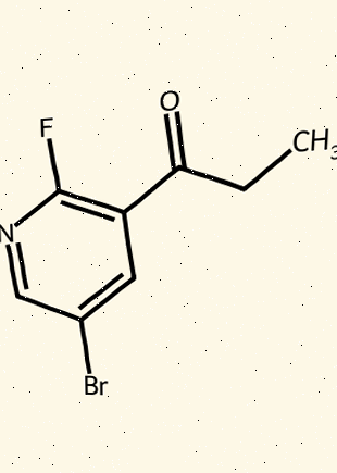 CCC(=O)c1cc(Br)cnc1F